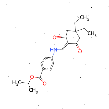 CCC1(CC)CC(=O)C(=CNc2ccc(C(=O)OC(C)C)cc2)C(=O)C1